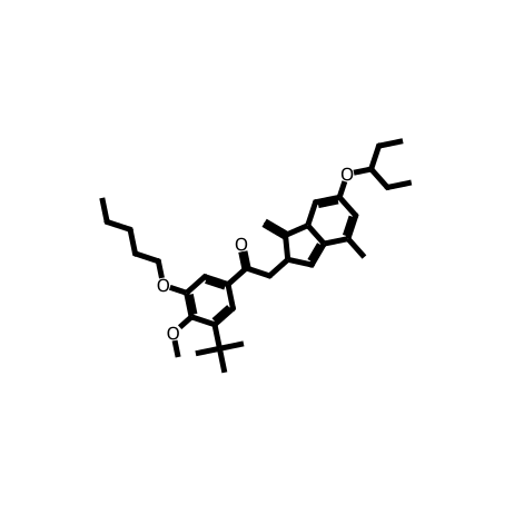 C=C1C(CC(=O)c2cc(OCCCCC)c(OC)c(C(C)(C)C)c2)C=C2C(C)=CC(OC(CC)CC)=CC12